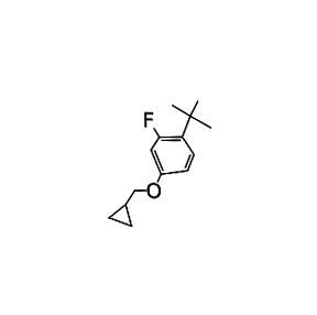 CC(C)(C)c1ccc(OCC2CC2)cc1F